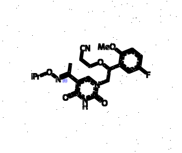 COc1ccc(F)cc1C(Cn1cc(/C(C)=N/OC(C)C)c(=O)[nH]c1=O)OCCC#N